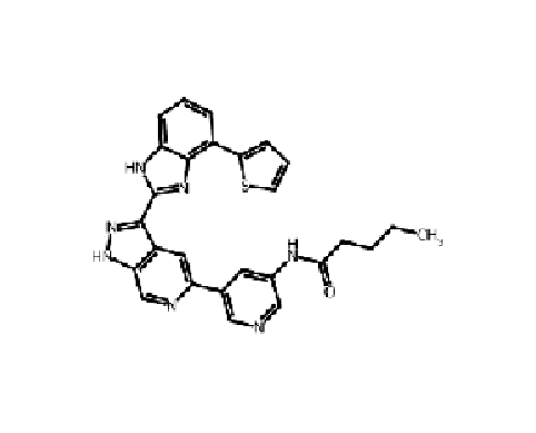 CCCCC(=O)Nc1cncc(-c2cc3c(-c4nc5c(-c6cccs6)cccc5[nH]4)n[nH]c3cn2)c1